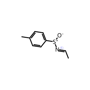 C/C=N/[S+]([O-])c1ccc(C)cc1